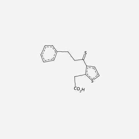 O=C(O)Cc1sccc1C(=S)CCc1ccccc1